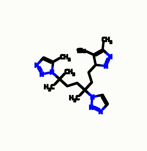 CC1=C(C(C)(C)C)C(CCC(C)(CCC(C)(C)n2nncc2C)n2ccnn2)N=N1